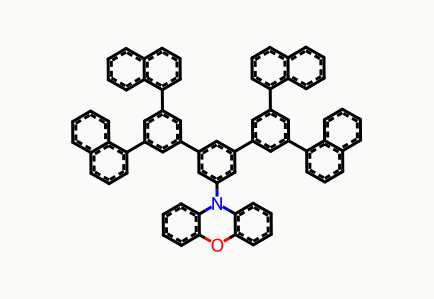 c1ccc2c(c1)Oc1ccccc1N2c1cc(-c2cc(-c3cccc4ccccc34)cc(-c3cccc4ccccc34)c2)cc(-c2cc(-c3cccc4ccccc34)cc(-c3cccc4ccccc34)c2)c1